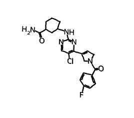 NC(=O)C1CCCC(Nc2ncc(Cl)c(C3=CCN(C(=O)c4ccc(F)cc4)C3)n2)C1